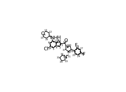 O=C(c1cc2cc(Cl)cc(NC3CCOCC3)c2[nH]1)N1CC(c2ccc(F)cc2F)[C@H](CN2CCCC2)C1